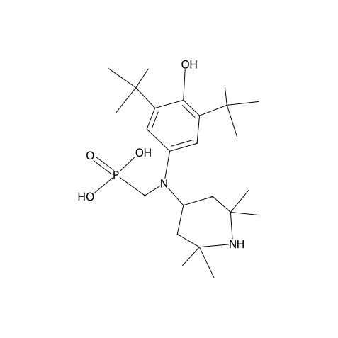 CC1(C)CC(N(CP(=O)(O)O)c2cc(C(C)(C)C)c(O)c(C(C)(C)C)c2)CC(C)(C)N1